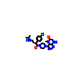 CC(C)NCC[C@@H](C(=O)N1CCN(c2ncnc3c2N(C)C(=O)CN3)CC1)c1ccc(Cl)cc1